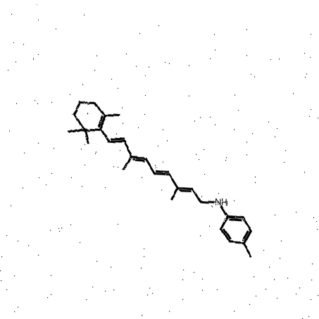 CC1=C(/C=C/C(C)=C/C=C/C(C)=C/CNc2ccc(C)cc2)C(C)(C)CCC1